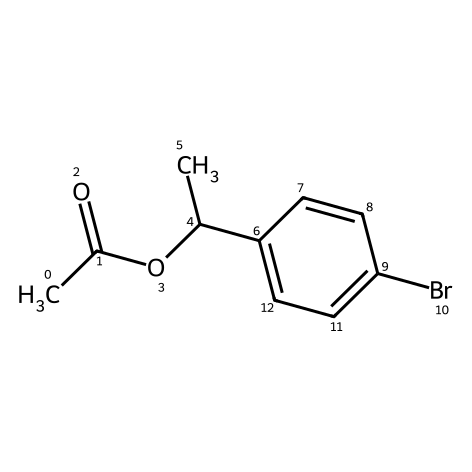 CC(=O)OC(C)c1ccc(Br)cc1